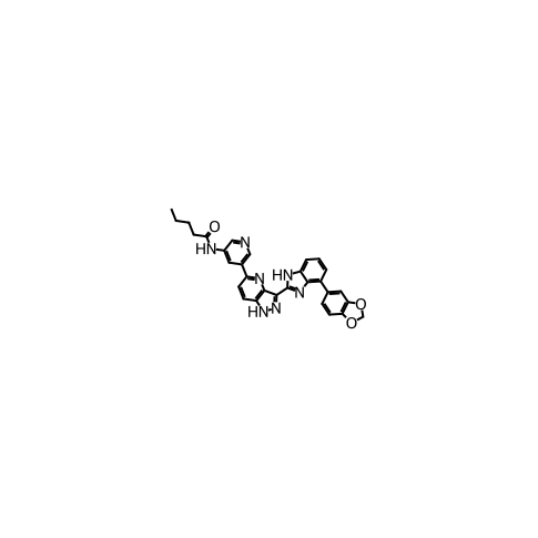 CCCCC(=O)Nc1cncc(-c2ccc3[nH]nc(-c4nc5c(-c6ccc7c(c6)OCO7)cccc5[nH]4)c3n2)c1